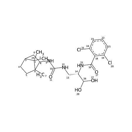 CC1(C)C2CCC1(C)C(NC(=O)NC[C@H](NC(=O)c1c(Cl)cccc1Cl)C(O)O)C2